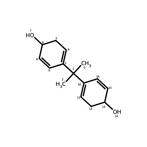 CC(C)(C1=CCC(O)C=C1)C1=CCC(O)C=C1